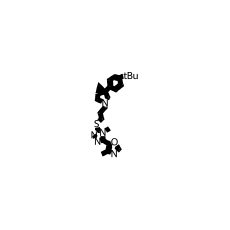 Cc1ncoc1-c1nnc(SCCCN2CC3CC3(c3ccc(C(C)(C)C)cc3)C2)n1C